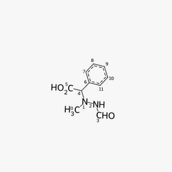 CN(NC=O)C(C(=O)O)c1ccccc1